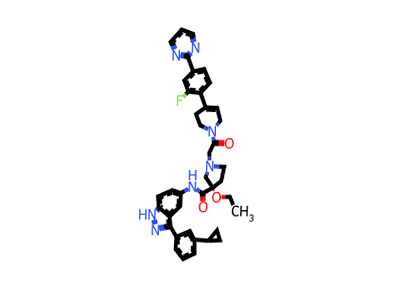 CCO[C@@]1(C(=O)Nc2ccc3[nH]nc(-c4cccc(C5CC5)c4)c3c2)CCN(CC(=O)N2CC=C(c3ccc(-c4ncccn4)cc3F)CC2)C1